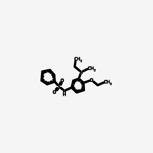 CCOc1ccc(NS(=O)(=O)c2ccccc2)cc1N(C)CC